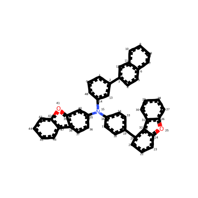 c1cc(-c2ccc3ccccc3c2)cc(N(c2ccc(-c3cccc4oc5ccccc5c34)cc2)c2ccc3c(c2)oc2ccccc23)c1